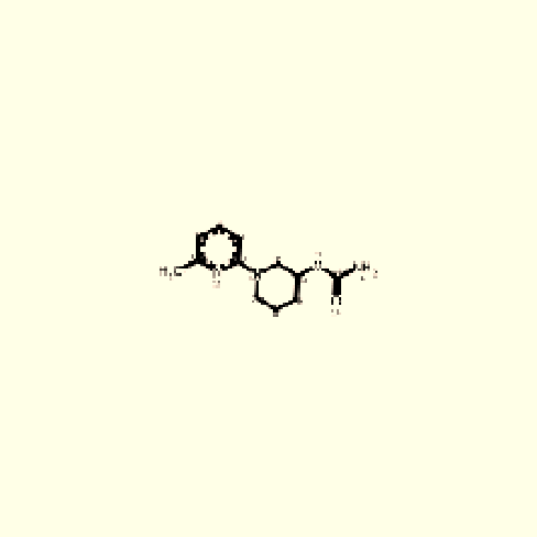 Cc1cccc(N2CCCC(OC(N)=O)C2)n1